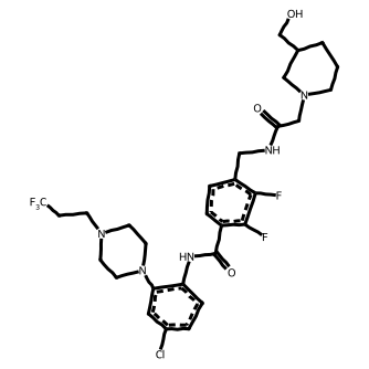 O=C(CN1CCCC(CO)C1)NCc1ccc(C(=O)Nc2ccc(Cl)cc2N2CCN(CCC(F)(F)F)CC2)c(F)c1F